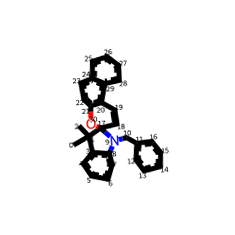 CC1(C)c2ccccc2N(Cc2ccccc2)C12C=Cc1c(ccc3ccccc13)O2